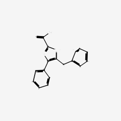 NC(=O)c1nc(-c2ccccc2)c(Cc2ccccc2)s1